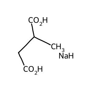 CC(CC(=O)O)C(=O)O.[NaH]